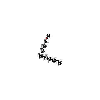 CC.C[N+](C)(C)C.F[B-](F)(F)F.F[B-](F)(F)F.F[B-](F)(F)F.F[B-](F)(F)F.F[B-](F)(F)F.F[B-](F)(F)F.F[B-](F)(F)F.F[B-](F)(F)F